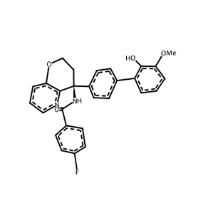 COc1cccc(-c2ccc([C@@]3(NC(=O)c4ccc(F)cc4)CCOc4cccnc43)cc2)c1O